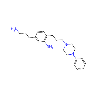 NCCCc1ccc(CCCN2CCN(c3ccccc3)CC2)c(N)c1